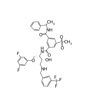 C[C@@H](NC(=O)c1cc(C(=O)N[C@@H](COc2cc(F)cc(F)c2)[C@H](O)CNCc2cccc(C(F)(F)F)c2)cc(S(C)(=O)=O)c1)c1ccccc1